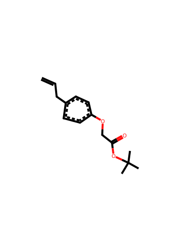 C=CCc1ccc(OCC(=O)OC(C)(C)C)cc1